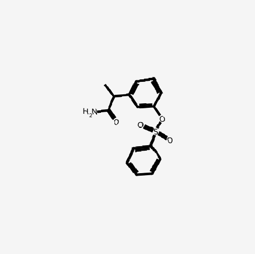 CC(C(N)=O)c1cccc(OS(=O)(=O)c2ccccc2)c1